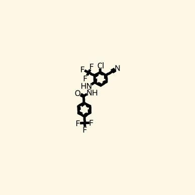 N#Cc1ccc(NNC(=O)c2ccc(C(F)(F)F)cc2)c(C(F)(F)F)c1Cl